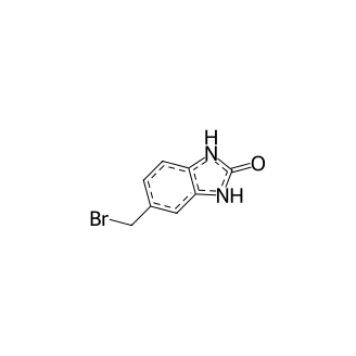 O=c1[nH]c2ccc(CBr)cc2[nH]1